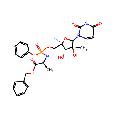 C[C@H](NP(=O)(OC[C@@]1(F)O[C@@H](n2ccc(=O)[nH]c2=O)[C@](C)(O)[C@@H]1O)Oc1ccccc1)C(=O)OCc1ccccc1